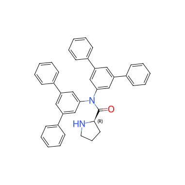 O=C([C@H]1CCCN1)N(c1cc(-c2ccccc2)cc(-c2ccccc2)c1)c1cc(-c2ccccc2)cc(-c2ccccc2)c1